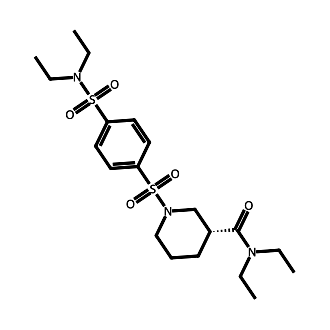 CCN(CC)C(=O)[C@@H]1CCCN(S(=O)(=O)c2ccc(S(=O)(=O)N(CC)CC)cc2)C1